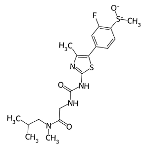 Cc1nc(NC(=O)NCC(=O)N(C)CC(C)C)sc1-c1ccc([S+](C)[O-])c(F)c1